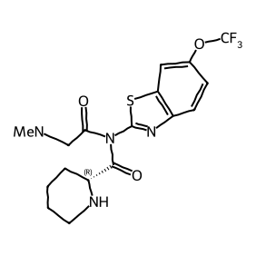 CNCC(=O)N(C(=O)[C@H]1CCCCN1)c1nc2ccc(OC(F)(F)F)cc2s1